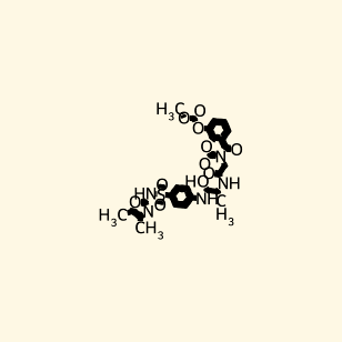 COC(=O)Oc1cccc2c(=O)n(CC(=O)NC(C)C(O)Nc3ccc(S(=O)(=O)Nc4nc(C)c(C)o4)cc3)c(=O)oc12